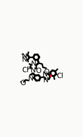 COCCn1cc(N2C(=O)c3c(CCCOc4cc(C)c(Cl)c(C)c4)c4cccc(-c5c(C)nn(C)c5C)c4n3C(C)[C@H]2Cl)c2cc(-c3ncccn3)ccc21